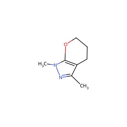 Cc1nn(C)c2c1CCCO2